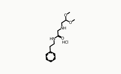 COC(CNCC(=O)NCCc1ccccc1)OC.Cl